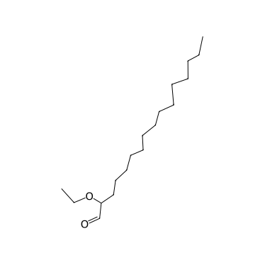 CCCCCCCCCCCCCCC(C=O)OCC